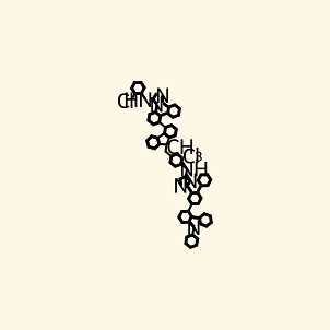 CC1(Cc2ccc(Nc3cnc4c5cc(-c6cccc7c6c6ccccc6n7-c6ccccc6)ccc5c5ccccc5n34)c(Cl)c2)c2ccccc2-c2c(-c3cccc4c3c3ccccc3c3ncc(Nc5ccccc5Cl)n43)cccc21